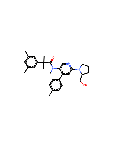 Cc1ccc(-c2cc(N3CCCC3CO)ncc2N(C)C(=O)C(C)(C)c2cc(C)cc(C)c2)cc1